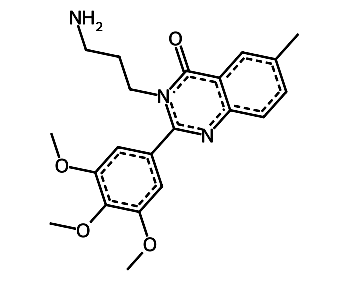 COc1cc(-c2nc3ccc(C)cc3c(=O)n2CCCN)cc(OC)c1OC